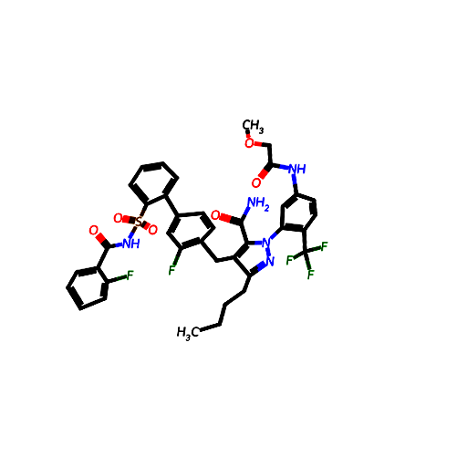 CCCCc1nn(-c2cc(NC(=O)COC)ccc2C(F)(F)F)c(C(N)=O)c1Cc1ccc(-c2ccccc2S(=O)(=O)NC(=O)c2ccccc2F)cc1F